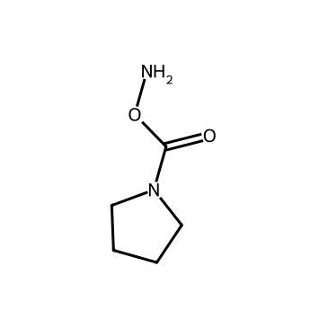 NOC(=O)N1CCCC1